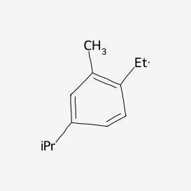 C[CH]c1ccc(C(C)C)cc1C